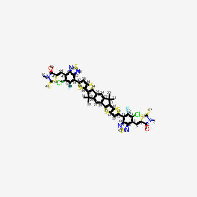 CN1C(=O)/C(=C/c2c(Cl)c(F)c(-c3cc4sc5c(c4s3)C(C)(C)c3cc4c(cc3-5)C(C)(C)c3c-4sc4cc(-c5c(F)c(Cl)c(/C=C6\SC(=S)N(C)C6=O)c6nsnc56)sc34)c3nsnc23)SC1=S